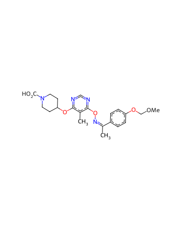 COCOc1ccc(/C(C)=N\Oc2ncnc(OC3CCN(C(=O)O)CC3)c2C)cc1